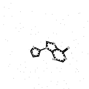 O=c1nc[nH]c2c1ncn2-c1cccs1